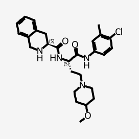 COC1CCN(CC[C@H](NC(=O)[C@@H]2Cc3ccccc3CN2)C(=O)Nc2ccc(Cl)c(C)c2)CC1